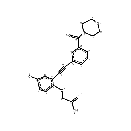 O=C(O)COc1ccc(Cl)cc1C#Cc1cccc(C(=O)N2CCOCC2)c1